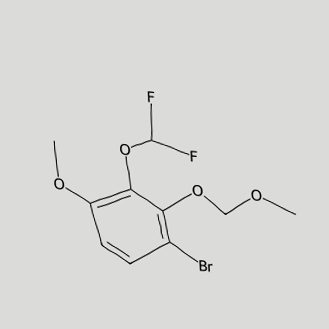 COCOc1c(Br)ccc(OC)c1OC(F)F